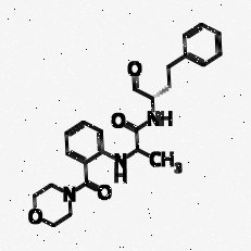 CC(Nc1ccccc1C(=O)N1CCOCC1)C(=O)N[C@H](C=O)CCc1ccccc1